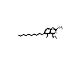 CCCCCCCCCCc1ccc2nc(N)nc(N)c2c1C